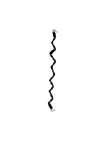 C=CCC=CCCCCCCCC=C